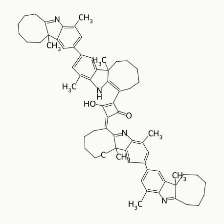 Cc1cc(-c2cc(C)c3c(c2)C2(C)CCCCC/C(=C4/C(=O)C(C5=C6\Nc7c(C)cc(-c8cc(C)c9c(c8)C8(C)CCCCCCC8=N9)cc7C6(C)CCCCC\5)=C4O)C2=N3)cc2c1N=C1CCCCCCC12C